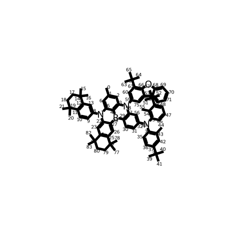 Cc1cc2c3c(c1)N(c1ccc4c(c1)C(C)(C)CCC4(C)C)c1cc4c(cc1B3c1ccc(N(c3ccc(C(C)(C)C)cc3C)c3cccc(C(C)(C)C)c3C)cc1N2c1cc(C(C)(C)C)c2oc3ccccc3c2c1)C(C)(C)CCC4(C)C